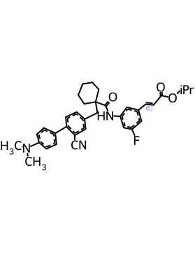 CC(C)OC(=O)/C=C/c1cc(F)cc(NC(=O)C2(Cc3ccc(-c4ccc(N(C)C)cc4)c(C#N)c3)CCCCC2)c1